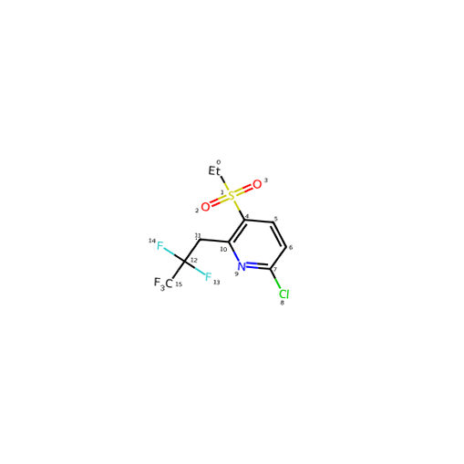 CCS(=O)(=O)c1ccc(Cl)nc1[CH]C(F)(F)C(F)(F)F